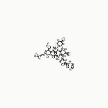 CCOc1cc(C#CC(C)(C)C)ccc1C1=N[C@@H](c2ccc(Cl)cc2)[C@@H](c2ccc(Cl)cc2)N1C(=O)N1CCN(CC(=O)N2CCOCC2)CC1